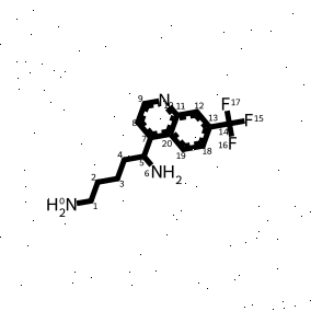 NCCCCC(N)c1ccnc2cc(C(F)(F)F)ccc12